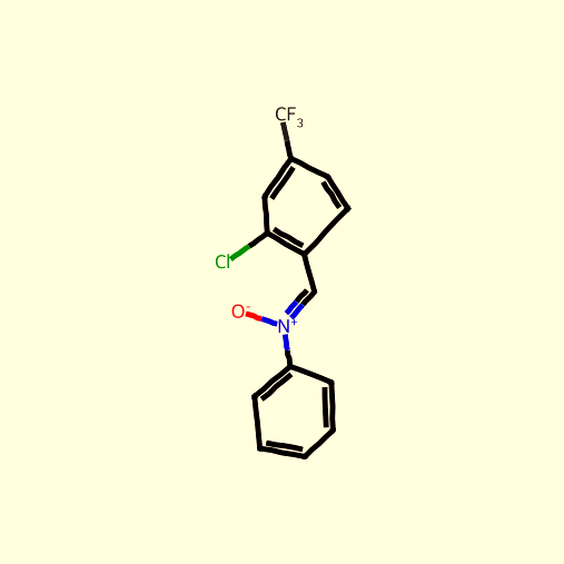 [O-][N+](=Cc1ccc(C(F)(F)F)cc1Cl)c1ccccc1